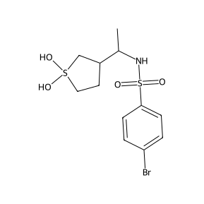 CC(NS(=O)(=O)c1ccc(Br)cc1)C1CCS(O)(O)C1